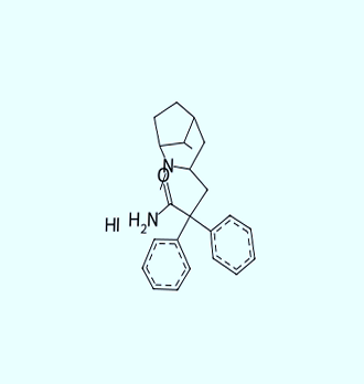 CC1C2CCC1N(C)C(CC(C(N)=O)(c1ccccc1)c1ccccc1)C2.I